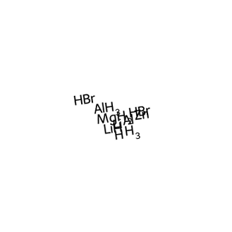 Br.Br.[AlH3].[AlH3].[LiH].[LiH].[MgH2].[Zn]